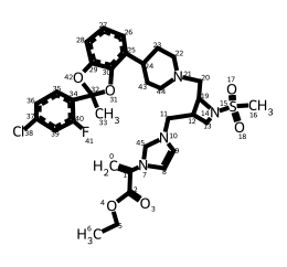 C=C(C(=O)OCC)N1C=CN(CC2CN(S(C)(=O)=O)C2CN2CCC(c3cccc4c3OC(C)(c3ccc(Cl)cc3F)O4)CC2)C1